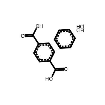 Cl.Cl.O=C(O)c1ccc(C(=O)O)cc1.c1ccccc1